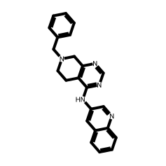 c1ccc(CN2CCc3c(ncnc3Nc3cnc4ccccc4c3)C2)cc1